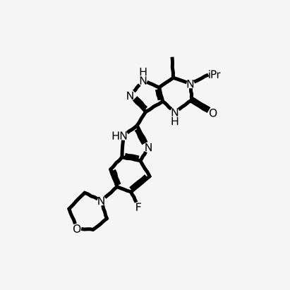 CC(C)N1C(=O)Nc2c(-c3nc4cc(F)c(N5CCOCC5)cc4[nH]3)n[nH]c2C1C